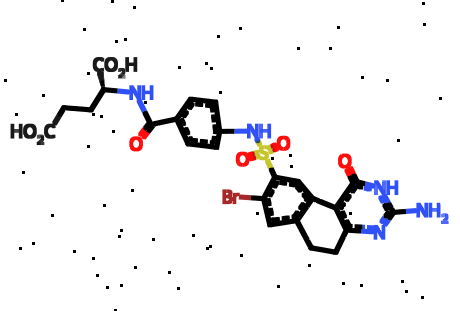 Nc1nc2c(c(=O)[nH]1)-c1cc(S(=O)(=O)Nc3ccc(C(=O)N[C@@H](CCC(=O)O)C(=O)O)cc3)c(Br)cc1CC2